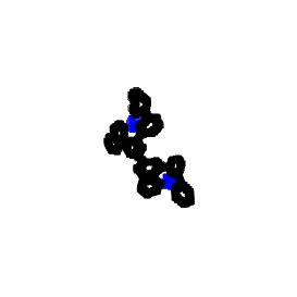 c1ccc(-c2cc(-c3cccc(-c4cccc5c6ccccc6n(-c6ccccc6)c45)c3)cc(-c3cccc4c5ccccc5n(-c5ccccc5)c34)c2)cc1